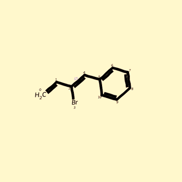 C=C/C(Br)=C/c1ccccc1